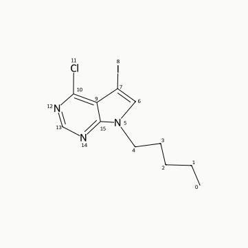 CCCCCn1cc(I)c2c(Cl)ncnc21